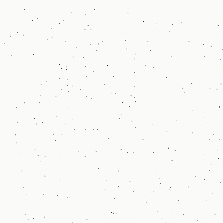 O=C(O)C(Oc1cccc2c1OC1CCCC21)OS(=O)(=O)Cc1ccccc1